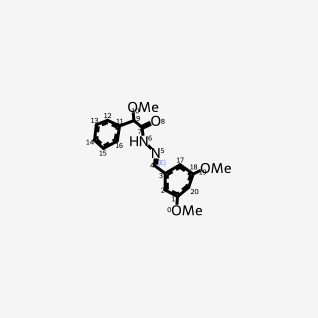 COc1cc(/C=N/NC(=O)C(OC)c2ccccc2)cc(OC)c1